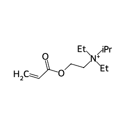 C=CC(=O)OCC[N+](CC)(CC)C(C)C